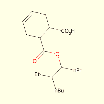 CCCCC(CC)C(CCC)OC(=O)C1CC=CCC1C(=O)O